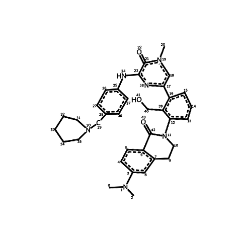 CN(C)c1ccc2c(c1)CCN(c1cccc(-c3cn(C)c(=O)c(Nc4ccc(CN5CCCCC5)cc4)n3)c1CO)C2=O